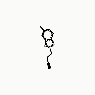 C#CCCn1nc2ccc(C)cc2n1